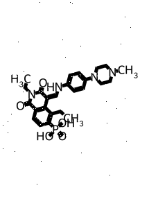 CCc1c(P(=O)(O)O)ccc2c1C(=CNc1ccc(N3CCN(C)CC3)cc1)C(=O)N(CC)C2=O